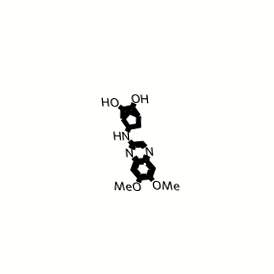 COc1cc2ncc(NC3CC4CC3C(O)C4O)nc2cc1OC